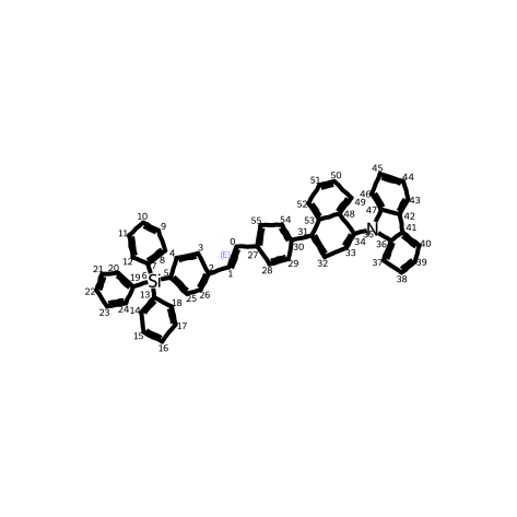 C(=C\c1ccc([Si](c2ccccc2)(c2ccccc2)c2ccccc2)cc1)/c1ccc(-c2ccc(-n3c4ccccc4c4ccccc43)c3ccccc23)cc1